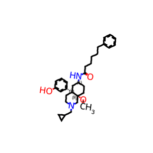 CO[C@]12CC[C@H](NC(=O)CCCCCc3ccccc3)C[C@]1(c1cccc(O)c1)CCN(CC1CC1)C2